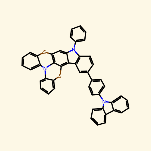 c1ccc(-n2c3ccc(-c4ccc(-n5c6ccccc6c6ccccc65)cc4)cc3c3c4c5c(cc32)Sc2ccccc2N5c2ccccc2S4)cc1